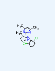 Cc1cc(C)nc(C2(Nc3c(Cl)cccc3Cl)CCCC2C)n1